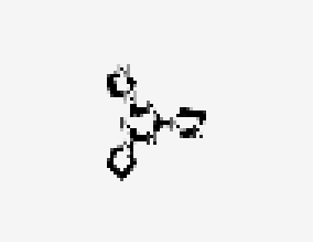 c1cn(-c2nc(N3CCCC3)nc(-n3ccnc3)n2)cn1